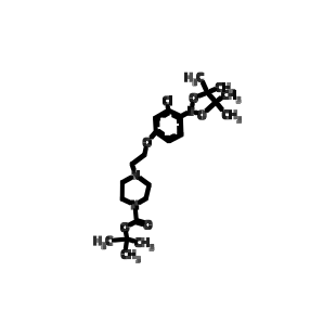 CC(C)(C)OC(=O)N1CCN(CCOc2ccc(B3OC(C)(C)C(C)(C)O3)c(Cl)c2)CC1